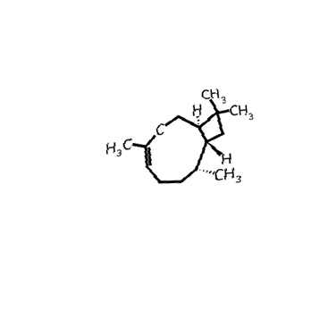 CC1=CCC[C@@H](C)[C@H]2CC(C)(C)[C@@H]2CC1